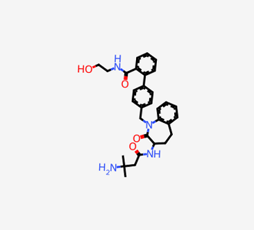 CC(C)(N)CC(=O)NC1CCc2ccccc2N(Cc2ccc(-c3ccccc3C(=O)NCCO)cc2)C1=O